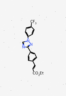 CCOC(=O)/C=C/c1ccc(-c2ncn(-c3ccc(C(F)(F)F)cc3)n2)cc1